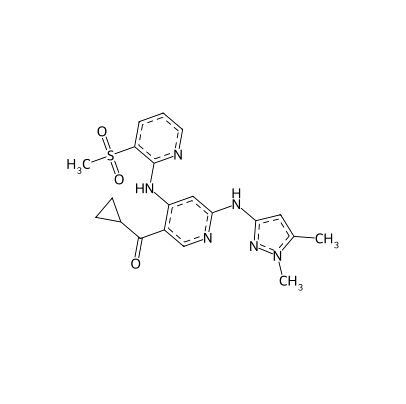 Cc1cc(Nc2cc(Nc3ncccc3S(C)(=O)=O)c(C(=O)C3CC3)cn2)nn1C